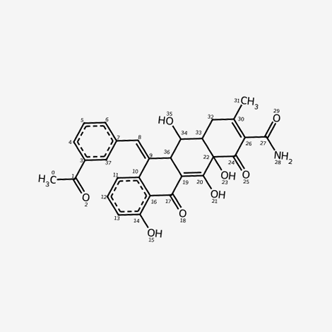 CC(=O)c1cccc(/C=C2\c3cccc(O)c3C(=O)C3=C(O)C4(O)C(=O)C(C(N)=O)=C(C)CC4C(O)C32)c1